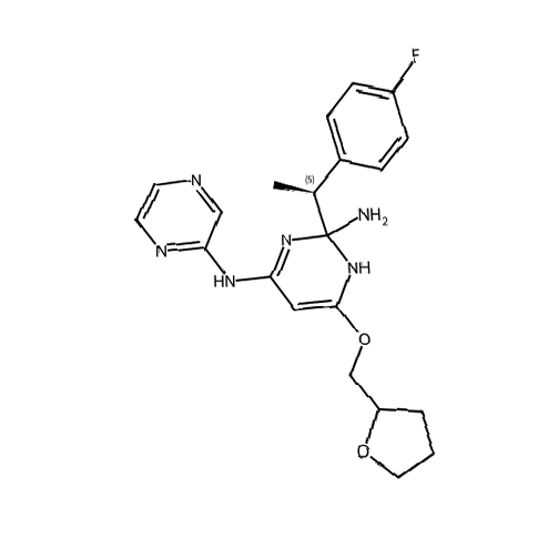 C[C@@H](c1ccc(F)cc1)C1(N)N=C(Nc2cnccn2)C=C(OCC2CCCO2)N1